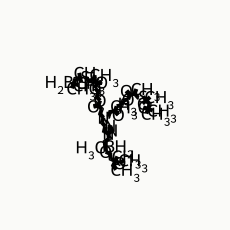 BC(C)(C)CC(C)(C)SCC(C)C(=O)OCCOC(=O)CCN(CCC(=O)OCCOC(=O)C(C)CSC(C)(C)CC(C)(C)C)Cc1cn(CCC(B)(C)OCCC(C)(CC)OC)nn1